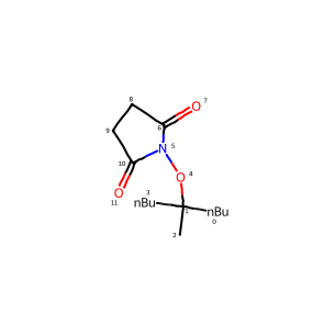 CCCCC(C)(CCCC)ON1C(=O)CCC1=O